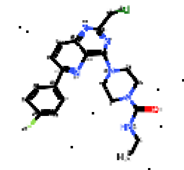 CCNC(=O)N1CCN(c2nc(CCl)nc3ccc(-c4ccc(F)cc4)nc23)CC1